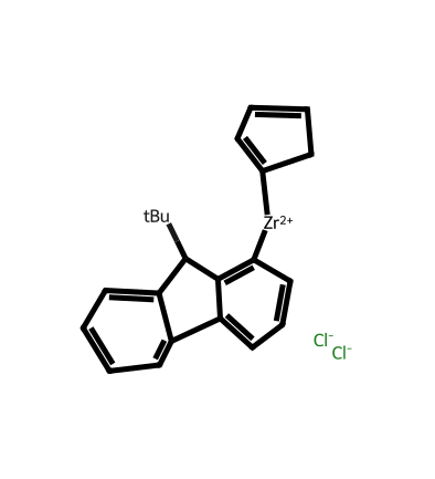 CC(C)(C)C1c2ccccc2-c2ccc[c]([Zr+2][C]3=CC=CC3)c21.[Cl-].[Cl-]